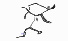 C=C1[C@H](C(=O)/C=C/C)C(C)(C)CC[C@H]1C